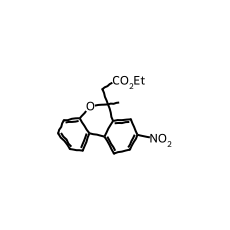 CCOC(=O)CC1(C)Oc2ccccc2-c2ccc([N+](=O)[O-])cc21